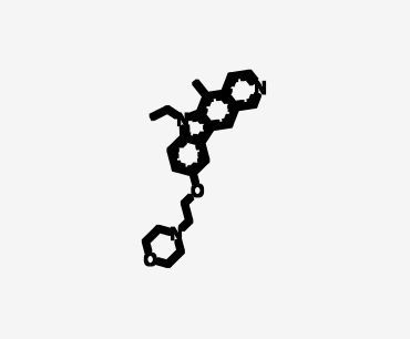 CCn1c2ccc(OCCN3CCOCC3)cc2c2cc3cnccc3c(C)c21